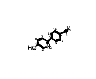 N#Cc1ccc(-c2ccc(O)cn2)cc1